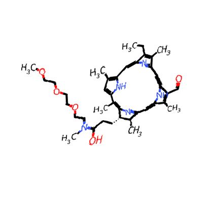 CCC1=C(C)c2cc3[nH]c(cc4nc(c(C)c5cc(C)c(cc1n2)[nH]5)[C@@H](CCC(O)N(C)CCOCCOCCOC)[C@@H]4C)c(C)c3C=O